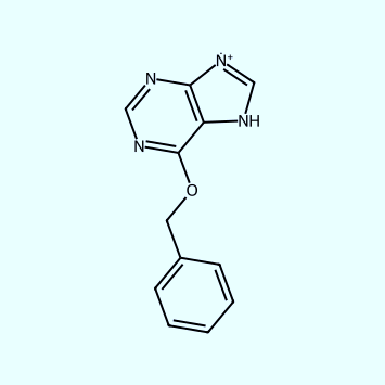 C1=[N+]c2ncnc(OCc3ccccc3)c2N1